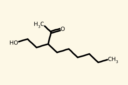 CCCCCCC(CCO)C(C)=O